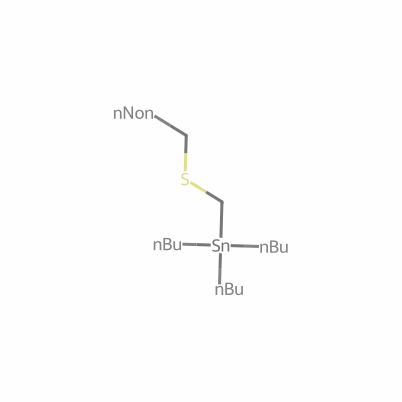 CCCCCCCCCCS[CH2][Sn]([CH2]CCC)([CH2]CCC)[CH2]CCC